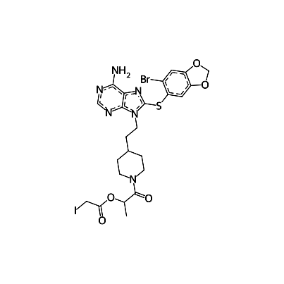 CC(OC(=O)CI)C(=O)N1CCC(CCn2c(Sc3cc4c(cc3Br)OCO4)nc3c(N)ncnc32)CC1